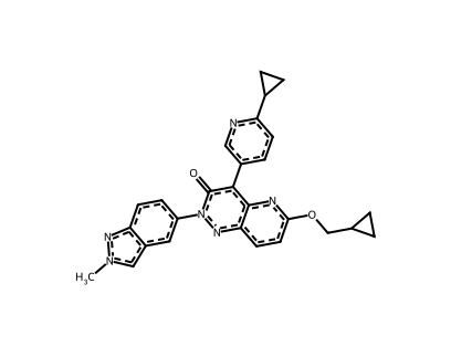 Cn1cc2cc(-n3nc4ccc(OCC5CC5)nc4c(-c4ccc(C5CC5)nc4)c3=O)ccc2n1